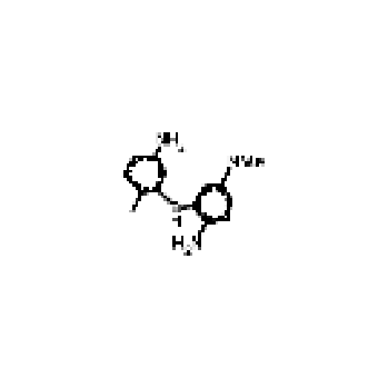 CNc1ccc(N)c(Bc2cc(N)ccc2C)c1